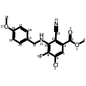 COC(=O)c1cc(Cl)c(F)c(NCc2ccc(OC)cc2)c1C#N